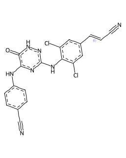 N#C/C=C/c1cc(Cl)c(Nc2n[nH]c(=O)c(Nc3ccc(C#N)cc3)n2)c(Cl)c1